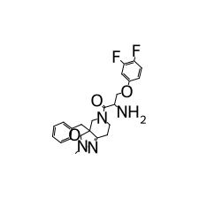 CN1N=C2CCN(C(=O)C(N)COc3ccc(F)c(F)c3)CC2(Cc2ccccc2)C1=O